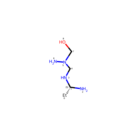 CC[C@@H](N)NCN(N)CO